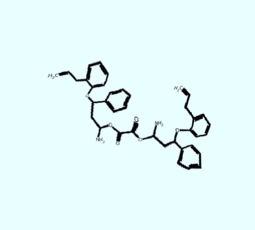 C=CCc1ccccc1OC(CC(N)OC(=O)C(=O)OC(N)CC(Oc1ccccc1CC=C)c1ccccc1)c1ccccc1